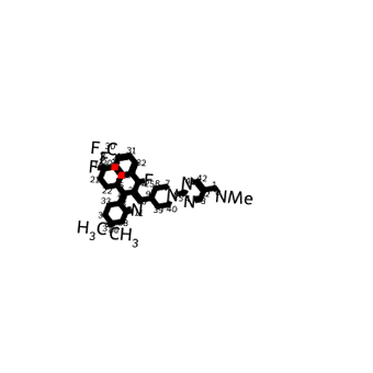 CNCc1cnc(N2CCC(c3nc4c(c(C5CCC(F)(F)CC5)c3C(F)c3ccc(C(F)(F)F)cc3)CCC(C)(C)C4)CC2)nc1